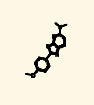 COc1ccc(-c2nc3ccc(N(C)C)nc3o2)cc1